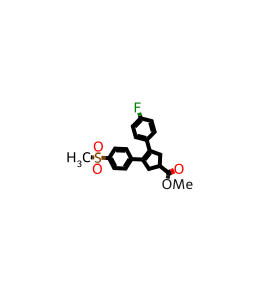 COC(=O)C1CC(c2ccc(F)cc2)=C(c2ccc(S(C)(=O)=O)cc2)C1